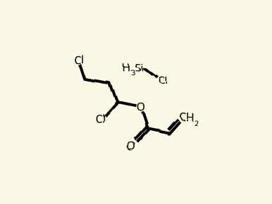 C=CC(=O)OC(Cl)CCCl.[SiH3]Cl